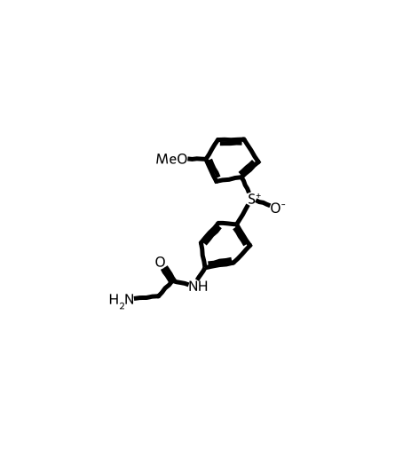 COc1cccc([S+]([O-])c2ccc(NC(=O)CN)cc2)c1